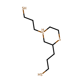 SCCCC1C[SH](CCCS)CCS1